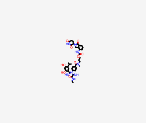 CCNC(=O)C(=N)N(C(=N)c1cc(C(C)C)c(O)cc1O)c1ccc(C(=O)N(C)CCCOC(=O)Nc2cccc3c2CN(C2CCC(=O)NC2=O)C3=O)cc1